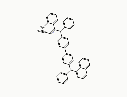 C#C/C=C(\c1ccccc1C)N(c1ccccc1)c1ccc(-c2ccc(N(c3ccccc3)c3cccc4ccccc34)cc2)cc1